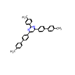 Cc1ccc(-c2ccc(-c3cc(-c4ccc(-c5ccc(C)cc5)cc4)nc(-c4ccc(C)cc4)n3)cc2)cc1